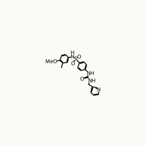 COc1ccc(NS(=O)(=O)c2ccc(NC(=O)NCc3cccnc3)cc2)cc1C